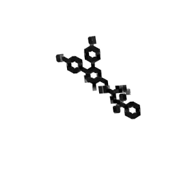 Cc1nc(-c2ccc(Cl)cc2)c(-c2ccc(Cl)cc2)cc1CN/C(N)=N/S(=O)(=O)c1ccccc1